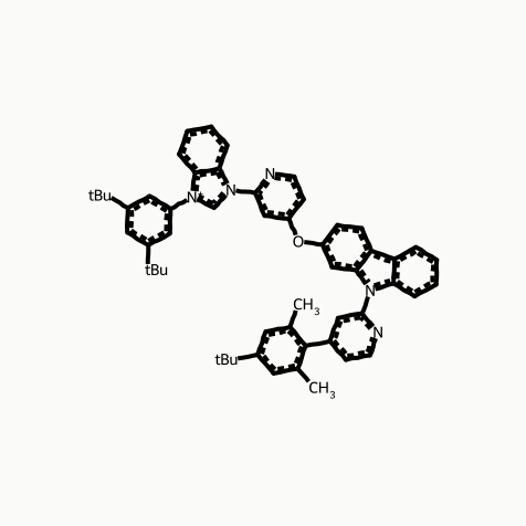 Cc1cc(C(C)(C)C)cc(C)c1-c1ccnc(-n2c3ccccc3c3ccc(Oc4ccnc(-n5c[n+](-c6cc(C(C)(C)C)cc(C(C)(C)C)c6)c6ccccc65)c4)cc32)c1